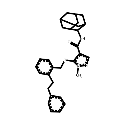 Cn1ncc(C(=O)NC2C3CC4CC(C3)CC2C4)c1OCc1ccccc1CCc1ccccc1